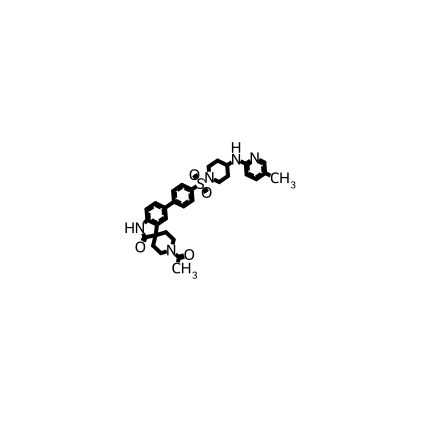 CC(=O)N1CCC2(CC1)C(=O)Nc1ccc(-c3ccc(S(=O)(=O)N4CCC(Nc5ccc(C)cn5)CC4)cc3)cc12